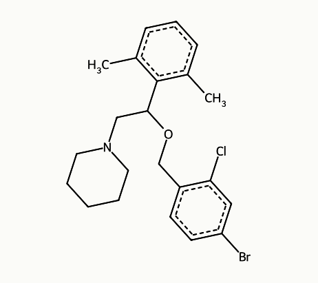 Cc1cccc(C)c1C(CN1CCCCC1)OCc1ccc(Br)cc1Cl